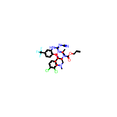 C=CCOC(=O)N(CC)C/C(=N\N(CC)/C(=N\C#N)Nc1cc(C(F)(F)F)ccc1OC1CCN(C)CC1)c1ccc(Cl)c(Cl)c1